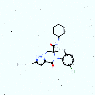 CCOC(=O)c1cc2n(n1)CC(C)(C(=O)NC1CCCCC1)N(c1cc(Cl)ccc1OC)C2=O